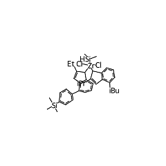 CCC1=Cc2c(-c3ccc([Si](C)(C)C)cc3)cccc2[CH]1[Zr]([Cl])([Cl])([CH]1C(C(C)C)=Cc2c(C(C)CC)cccc21)[SiH](C)C